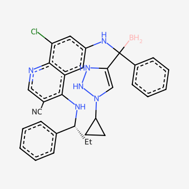 BC(Nc1cc(Cl)c2ncc(C#N)c(N[C@H](CC)c3ccccc3)c2c1)(C1=CN(C2CC2)NN1)c1ccccc1